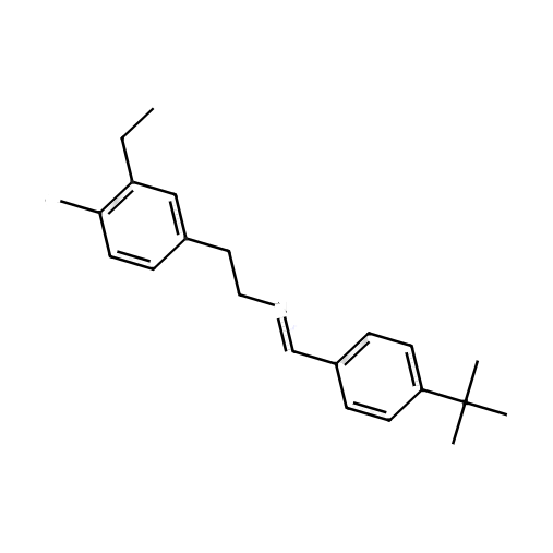 CCc1cc(CC/N=C/c2ccc(C(C)(C)C)cc2)ccc1Cl